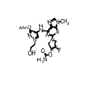 COc1nn(CCO)cc1Nc1nc(N2C[C@@H](F)[C@H](OC(N)=O)C2)nc2c1ncn2C